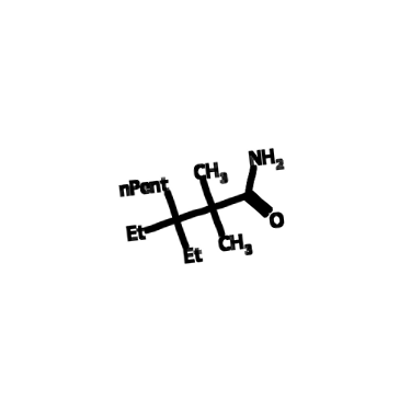 CCCCCC(CC)(CC)C(C)(C)C(N)=O